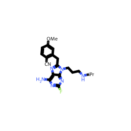 COc1ccc(C#N)c(Cc2nc3c(N)nc(F)nc3n2CCCNC(C)C)c1